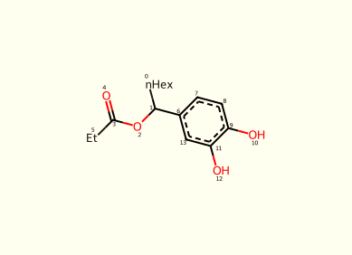 CCCCCCC(OC(=O)CC)c1ccc(O)c(O)c1